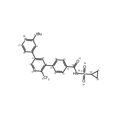 CC(C)(C)c1cc(-c2cnc(C(F)(F)F)c(-c3ccc(C(=O)NS(=O)(=O)C4CC4)cc3)c2)ccn1